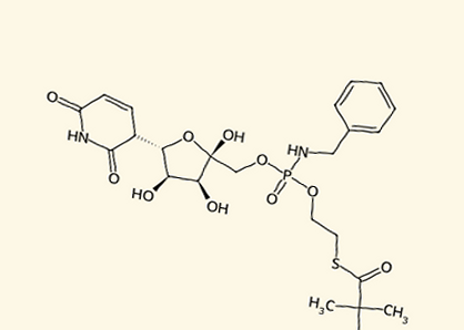 CC(C)(CO)C(=O)SCCOP(=O)(NCc1ccccc1)OC[C@@]1(O)O[C@@H](C2C=CC(=O)NC2=O)[C@H](O)[C@@H]1O